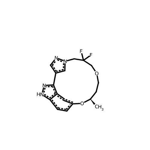 C[C@@H]1CCOCC(F)(F)Cn2cc(cn2)-c2n[nH]c3ccc(cc23)O1